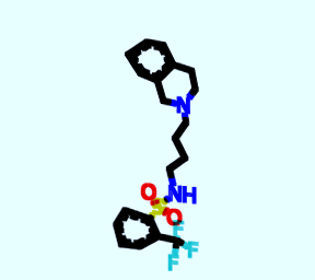 O=S(=O)(NCCCCN1CCc2ccccc2C1)c1ccccc1C(F)(F)F